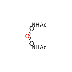 CC(=O)Nc1ccc(C=CC(=O)C=Cc2ccc(NC(C)=O)cc2)cc1